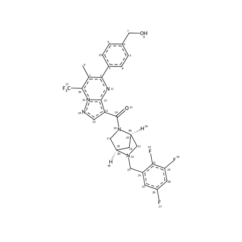 Cc1c(-c2ccc(CO)cc2)nc2c(C(=O)N3C[C@H]4C[C@@H]3CN4Cc3cc(F)cc(F)c3F)cnn2c1C(F)(F)F